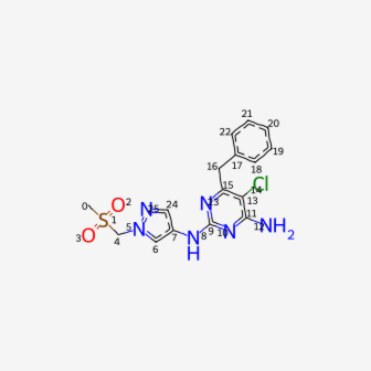 CS(=O)(=O)Cn1cc(Nc2nc(N)c(Cl)c(Cc3ccccc3)n2)cn1